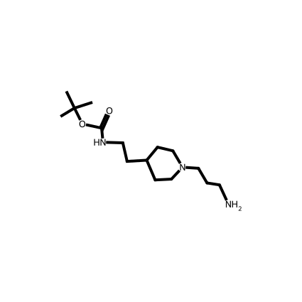 CC(C)(C)OC(=O)NCCC1CCN(CCCN)CC1